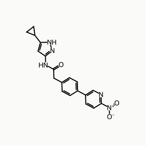 O=C(Cc1ccc(-c2ccc([N+](=O)[O-])nc2)cc1)Nc1cc(C2CC2)[nH]n1